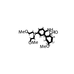 COCCN(CCOC)c1ccc(N)c(-c2cc(OC)ccc2C=O)c1